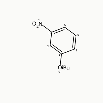 CC(C)COc1[c]c([N+](=O)[O-])ccc1